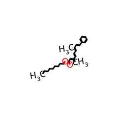 CCCCCCCCCOC(=O)C=C(C)C=CC=C(C)C=Cc1ccccc1